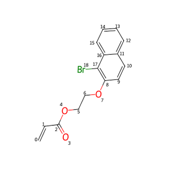 C=CC(=O)OCCOc1ccc2ccccc2c1Br